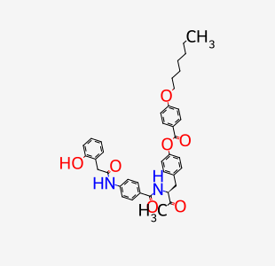 CCCCCCCOc1ccc(C(=O)Oc2ccc(C[C@H](NC(=O)c3ccc(NC(=O)Cc4ccccc4O)cc3)C(C)=O)cc2)cc1